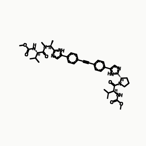 COC(=O)N[C@H](C(=O)N(C)[C@@H](C)c1ncc(-c2ccc(C#Cc3ccc(-c4cnc([C@@H]5CCCN5C(=O)[C@@H](NC(=O)OC)C(C)C)[nH]4)cc3)cc2)[nH]1)C(C)C